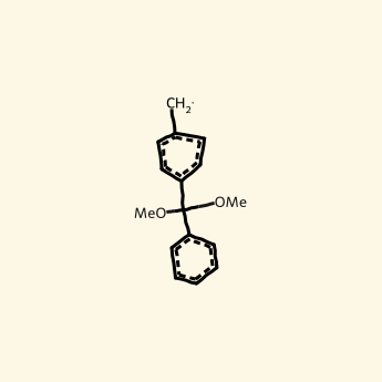 [CH2]c1ccc(C(OC)(OC)c2ccccc2)cc1